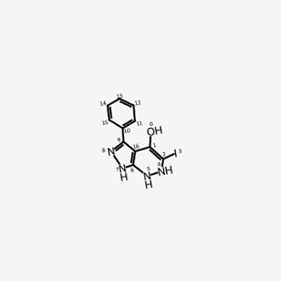 OC1=C(I)NNc2[nH]nc(-c3ccccc3)c21